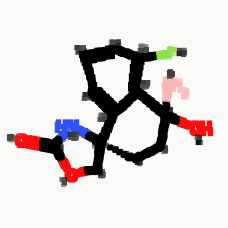 B[C@@]1(O)CC[C@@]2(COC(=O)N2)c2cccc(F)c21